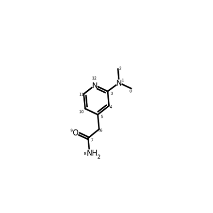 CN(C)c1cc([CH]C(N)=O)ccn1